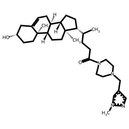 CC(CCC(=O)N1CCN(Cc2cnn(C)c2)CC1)[C@H]1CC[C@H]2[C@@H]3CC=C4C[C@@H](O)CC[C@]4(C)[C@H]3CC[C@]12C